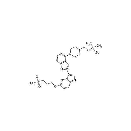 CC(C)(C)[Si](C)(C)OCC1CCN(c2nccc3oc(-c4cnc5ccc(OCCCS(C)(=O)=O)nn45)cc23)CC1